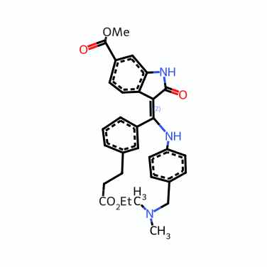 CCOC(=O)CCc1cccc(/C(Nc2ccc(CN(C)C)cc2)=C2/C(=O)Nc3cc(C(=O)OC)ccc32)c1